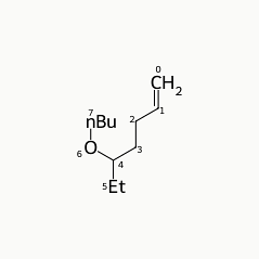 C=CCCC(CC)OCCCC